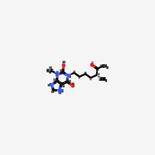 CC(=O)[C@H](C)CCCCn1c(=O)c2[nH]cnc2n(C)c1=O